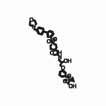 O=S(=O)(c1cccc(-c2ccc(CN3CCOCC3)cc2)c1)N1CCC2(CC1)C[C@H](NCC(O)COc1cccc(S(=O)(=O)C3(CO)CC3)c1)CO2